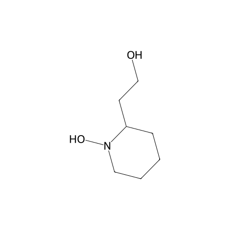 OCCC1CCCCN1O